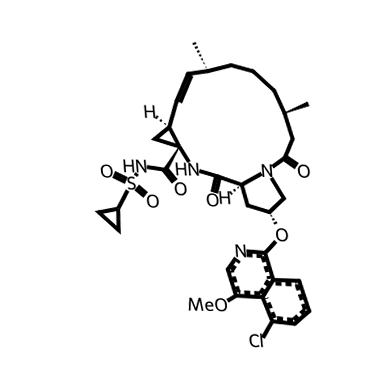 COc1cnc(O[C@@H]2C[C@H]3C(=O)N[C@]4(C(=O)NS(=O)(=O)C5CC5)C[C@H]4/C=C\[C@H](C)CCC[C@@H](C)CC(=O)N3C2)c2cccc(Cl)c12